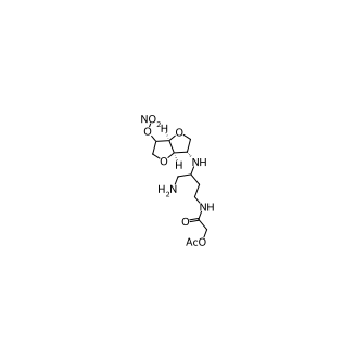 CC(=O)OCC(=O)NCCC(CN)N[C@H]1CO[C@@H]2C(O[N+](=O)[O-])CO[C@H]12